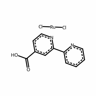 O=C(O)c1ccnc(-c2ccccn2)c1.[Cl][Ru][Cl]